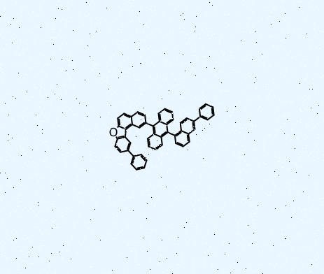 c1ccc(-c2ccc3c(-c4c5ccccc5c(-c5ccc6ccc7oc8ccc(-c9ccccc9)cc8c7c6c5)c5ccccc45)cccc3c2)cc1